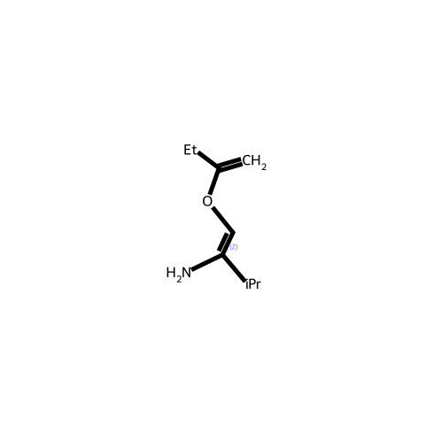 C=C(CC)O/C=C(\N)C(C)C